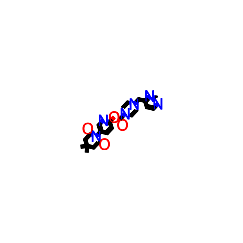 CC1(C)CC(=O)N(c2ccc(OC(=O)N3CCN(Cc4ccncn4)CC3)nc2)C(=O)C1